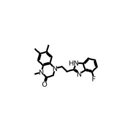 Cc1cc2c(cc1C)N(C)C(=O)CN2CCc1nc2c(F)cccc2[nH]1